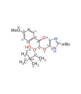 CCCCc1ncc(OC(OC(C)[Si](C)(C)C)C(=O)c2ccc(OC)cc2O)[nH]1